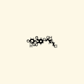 O=C1CCC(N2C(=O)c3ccc(OCC(O)C4CN(CCCl)C4)cc3C2=O)C(=O)N1